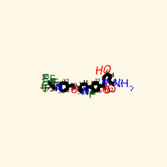 NC(=O)C1CC(O)CN1C(=O)c1ccc(-c2ccc(OCC3CCN(CC(F)(F)C(F)(F)F)CC3)cn2)c(F)c1